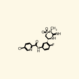 CN1C(=N)N[C@H](c2cc(NC(=O)c3ccc(Cl)cn3)ccc2F)CS1(=O)=O